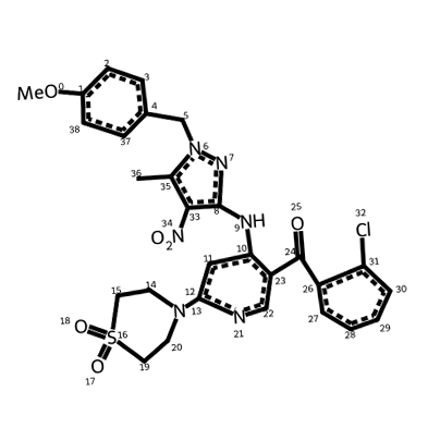 COc1ccc(Cn2nc(Nc3cc(N4CCS(=O)(=O)CC4)ncc3C(=O)c3ccccc3Cl)c([N+](=O)[O-])c2C)cc1